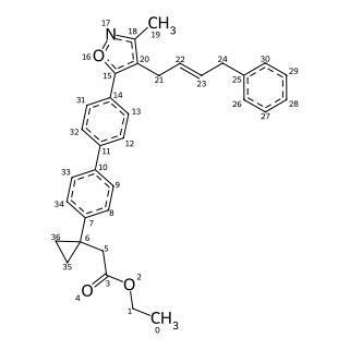 CCOC(=O)CC1(c2ccc(-c3ccc(-c4onc(C)c4CC=CCc4ccccc4)cc3)cc2)CC1